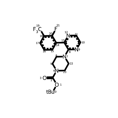 CC(C)(C)OC(=O)N1CCN(c2nccnc2-c2cccc(C(F)(F)F)c2F)CC1